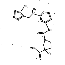 CNC(=O)C1(C(F)(F)F)CCN(C(=O)Nc2cccc([C@H](C)Cc3nncn3C)c2)C1